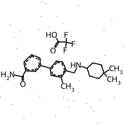 Cc1cc(-c2cccc(C(N)=O)c2)ccc1CNC1CCC(C)(C)CC1.O=C(O)C(F)(F)F